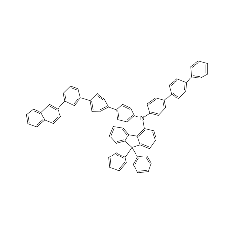 c1ccc(-c2ccc(-c3ccc(N(c4ccc(-c5ccc(-c6cccc(-c7ccc8ccccc8c7)c6)cc5)cc4)c4cccc5c4-c4ccccc4C5(c4ccccc4)c4ccccc4)cc3)cc2)cc1